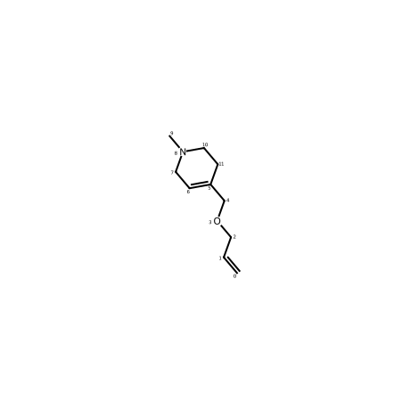 C=CCOCC1=CCN(C)CC1